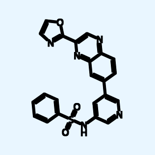 O=S(=O)(Nc1cncc(-c2ccc3ncc(-c4ncco4)nc3c2)c1)c1ccccc1